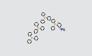 N.[Pd].c1ccc(P(c2ccccc2)c2ccccc2)cc1.c1ccc(P(c2ccccc2)c2ccccc2)cc1.c1ccc(P(c2ccccc2)c2ccccc2)cc1.c1ccc(P(c2ccccc2)c2ccccc2)cc1